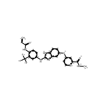 C=CC(=O)Nc1ccc(Nc2nc3cc(Oc4ccnc(C(=O)NC)c4)ccc3[nH]2)cc1C(F)(F)F